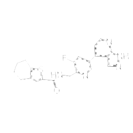 O=C(NCc1ncc(-c2ccnc3[nH]ncc23)cc1F)c1cc2c(s1)CCCC2